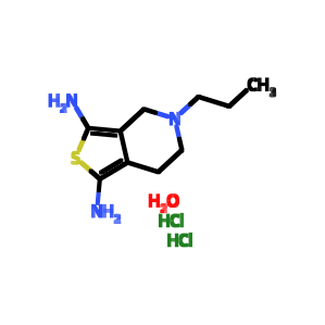 CCCN1CCc2c(N)sc(N)c2C1.Cl.Cl.O